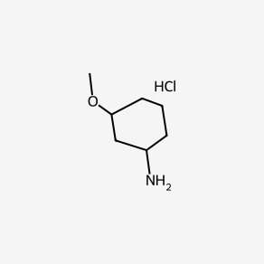 COC1CCCC(N)C1.Cl